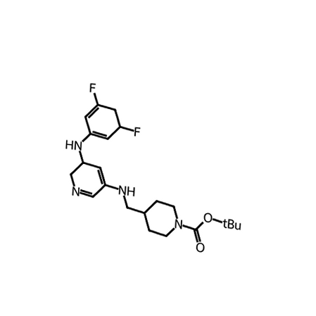 CC(C)(C)OC(=O)N1CCC(CNC2=CC(NC3=CC(F)CC(F)=C3)CN=C2)CC1